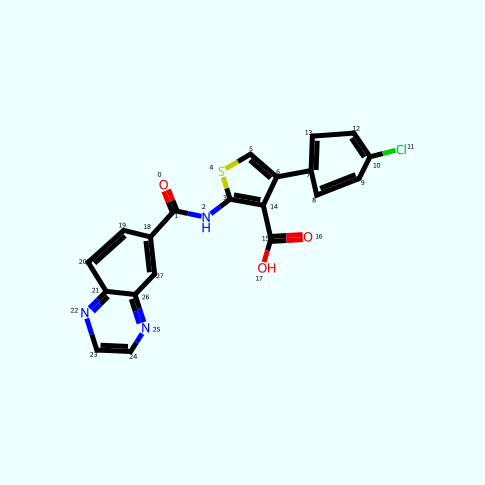 O=C(Nc1scc(-c2ccc(Cl)cc2)c1C(=O)O)c1ccc2nccnc2c1